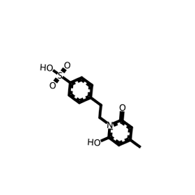 Cc1cc(O)n(CCc2ccc(S(=O)(=O)O)cc2)c(=O)c1